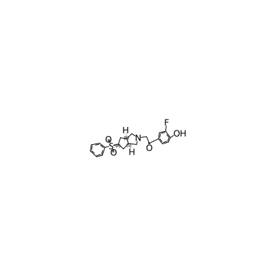 O=C(CN1C[C@H]2C[C@@H](S(=O)(=O)c3ccccc3)C[C@H]2C1)c1ccc(O)c(F)c1